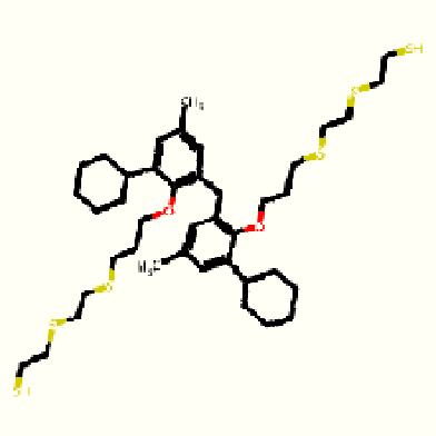 Cc1cc(Cc2cc(C)cc(C3CCCCC3)c2OCCCSCCSCCS)c(OCCCSCCSCCS)c(C2CCCCC2)c1